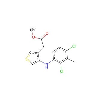 CCCOC(=O)Cc1cscc1Nc1ccc(Cl)c(C)c1Cl